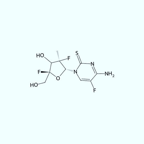 C[C@@]1(F)C(O)[C@@](F)(CO)O[C@H]1n1cc(F)c(N)nc1=S